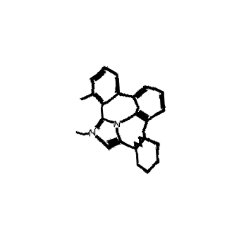 Cc1cccc2c3cccc4c3n3c(c[n+](C)c3c12)C12CCCCC41CCC2